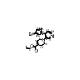 CCOC(=O)C1CCN(c2cnccc2-n2cc(Br)cn2)CC1